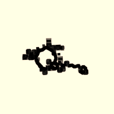 CO[C@H]1/C=C\C=C(/C)C(=O)NC2=CC(=O)C(NC(=O)OCCCCN3CCOCC3)=C(C[C@@H](C)C[C@H](OC)[C@H](O)[C@@H](C)/C=C(\C)[C@@H]1OC(N)=O)C2=O